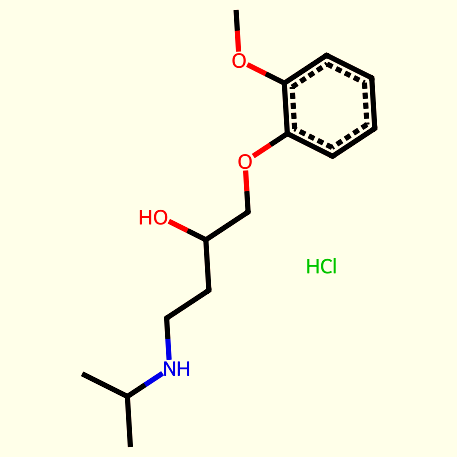 COc1ccccc1OCC(O)CCNC(C)C.Cl